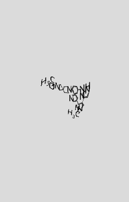 CCn1cc(-c2ccnc(Nc3ccc(N4CCC5(CC4)CN(C(C)=O)C5)cc3)n2)c(-c2cccnc2)n1